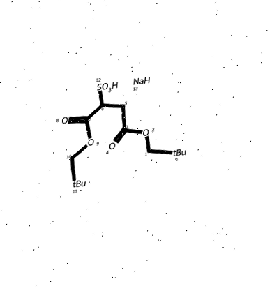 CC(C)(C)COC(=O)CC(C(=O)OCC(C)(C)C)S(=O)(=O)O.[NaH]